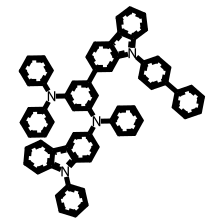 c1ccc(-c2ccc(-n3c4ccccc4c4ccc(-c5cc(N(c6ccccc6)c6ccccc6)cc(N(c6ccccc6)c6ccc7c(c6)c6ccccc6n7-c6ccccc6)c5)cc43)cc2)cc1